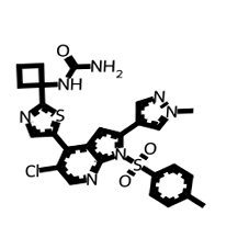 Cc1ccc(S(=O)(=O)n2c(-c3cnn(C)c3)cc3c(-c4cnc(C5(NC(N)=O)CCC5)s4)c(Cl)cnc32)cc1